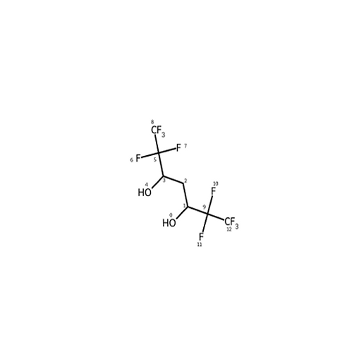 OC(CC(O)C(F)(F)C(F)(F)F)C(F)(F)C(F)(F)F